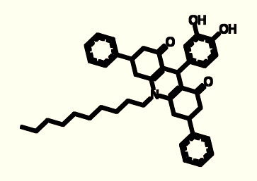 CCCCCCCCCCN1C2=C(C(=O)CC(c3ccccc3)C2)C(c2ccc(O)c(O)c2)C2=C1CC(c1ccccc1)CC2=O